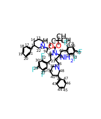 CC(C)(C)OC(=O)N([C@@H](CCN1CCCC(c2ccccc2)C1)Cc1cc(F)c(F)cc1F)C(N)(CCN1CCCC(c2ccccc2)C1)Cc1cc(F)c(F)cc1F